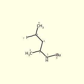 CCC(C)NC(C)CC(C)I